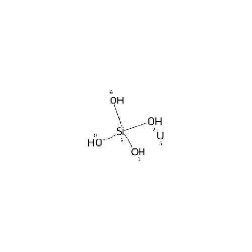 O[Si](O)(O)O.[U]